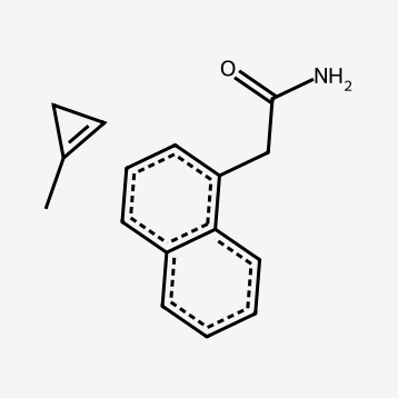 CC1=CC1.NC(=O)Cc1cccc2ccccc12